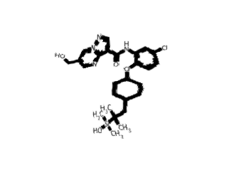 CC(C)(CC1CCC(Oc2ccc(Cl)cc2NC(=O)c2cnn3cc(CO)cnc23)CC1)[Si](C)(C)O